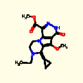 CCN1CCn2c(c(OC)c3c(=O)[nH]nc(C(=O)OC)c32)C1=C1CC1